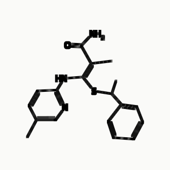 C/C(C(N)=O)=C(/Nc1ccc(C)cn1)SC(C)c1ccccc1